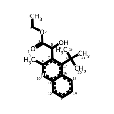 CCOC(=O)C(O)c1c(C)nc2ccccc2c1C(C)(C)C